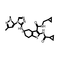 Cc1cc(-n2cnnc2N[C@@H]2CCc3sc(NC(=O)C4CC4)c(C(=O)NCC4CC4)c3C2)n(C)n1